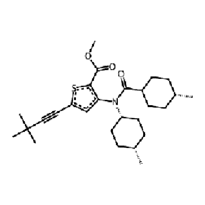 COC(=O)c1sc(C#CC(C)(C)C)cc1N(C(=O)[C@H]1CC[C@H](C)CC1)[C@H]1CC[C@@H](C)CC1